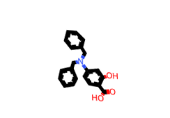 O=C(O)c1ccc(N(Cc2ccccc2)Cc2ccccc2)cc1O